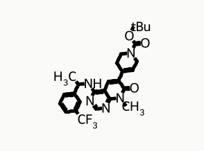 CC(Nc1ncnc2c1cc(C1=CCN(C(=O)OC(C)(C)C)CC1)c(=O)n2C)c1cccc(C(F)(F)F)c1